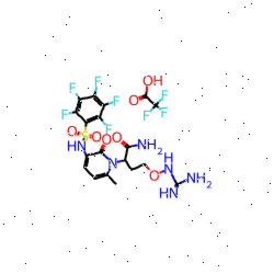 Cc1ccc(NS(=O)(=O)c2c(F)c(F)c(F)c(F)c2F)c(=O)n1C(CCONC(=N)N)C(N)=O.O=C(O)C(F)(F)F